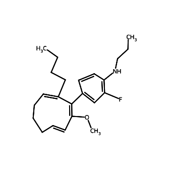 CCCCC1=C/CCC/C=C/C(OC)=C\1c1ccc(NCCC)c(F)c1